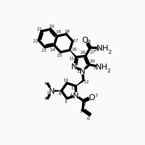 C=CC(=O)N1C[C@@H](N(C)C)C[C@H]1Cn1nc([C@@H]2CCc3ccccc3C2)c(C(N)=O)c1N